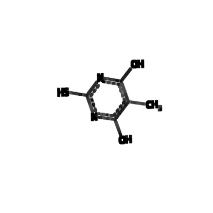 Cc1c(O)nc(S)nc1O